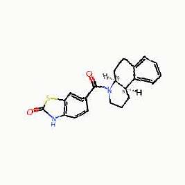 O=C(c1ccc2[nH]c(=O)sc2c1)N1CCC[C@@H]2c3ccccc3CC[C@@H]21